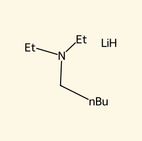 CCCCCN(CC)CC.[LiH]